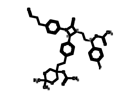 CC(=O)O[C@@H](CC[C@H]1C(=O)N(c2ccc(CCC=O)cc2)[C@@H]1c1ccc(CCC2(OC(C)=O)COC(C)(C)OC2)cc1)c1ccc(F)cc1